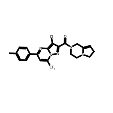 Cc1ccc(-c2cc(C(F)(F)F)n3nc(C(=O)N4CCN5CCC=C5C4)c(Cl)c3n2)cc1